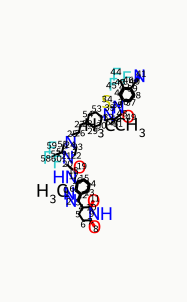 Cn1nc(C2CCC(=O)NC2=O)c2cccc(NC(=O)CN3CCN(CCCC4CCC(N5C(=S)N(c6ccc(C#N)c(C(F)(F)F)c6)C(=O)C5(C)C)CC4)CC3C(F)(F)F)c21